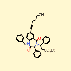 CCOC(=O)CC(c1ccccc1)N1C(=O)c2cc(C#CCCCC#N)ccc2N(Cc2ccccc2)C(=O)C1c1ccccc1